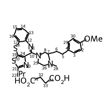 COc1ccc(CCC2CN(C3=Nc4ccccc4Sc4sc(C(C)C)nc43)CCN2C)cc1.O=C(O)CCC(=O)O